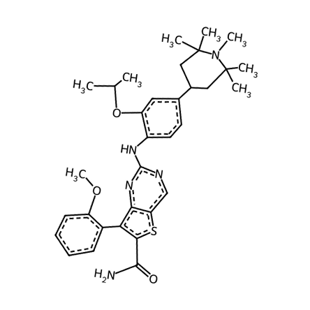 COc1ccccc1-c1c(C(N)=O)sc2cnc(Nc3ccc(C4CC(C)(C)N(C)C(C)(C)C4)cc3OC(C)C)nc12